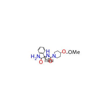 CCCC[C@@](NC(=O)N1CCC(OCOC)CC1)(C(N)=O)c1ccccc1